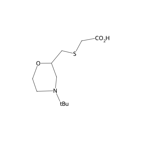 CC(C)(C)N1CCOC(CSCC(=O)O)C1